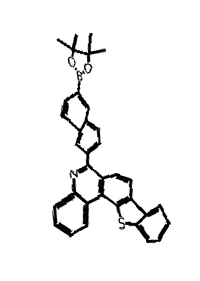 CC1(C)OB(c2ccc3cc(-c4nc5ccccc5c5c4ccc4c6ccccc6sc45)ccc3c2)OC1(C)C